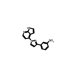 O=[N+]([O-])c1cccc(-c2ccn(-c3ccnc4[nH]ccc34)n2)c1